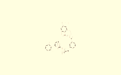 Cc1cccc(C)c1-c1cc2nc(n1)NS(=O)(=O)c1cccc(c1)C(=O)N1CCc3cc(C(C)(C)C)ccc3[C@H]1CO2